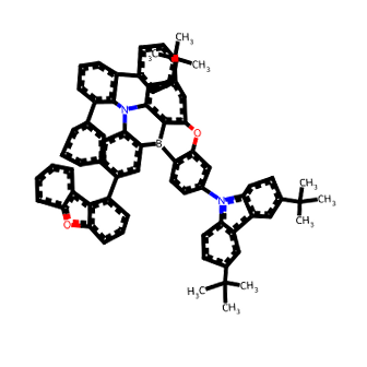 CC(C)(C)c1cc2c3c(c1)N(c1c(-c4ccccc4)cccc1-c1ccccc1)c1ccc(-c4cccc5oc6ccccc6c45)cc1B3c1ccc(-n3c4ccc(C(C)(C)C)cc4c4cc(C(C)(C)C)ccc43)cc1O2